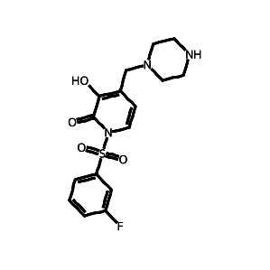 O=c1c(O)c(CN2CCNCC2)ccn1S(=O)(=O)c1cccc(F)c1